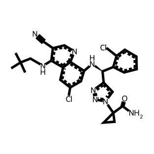 CC(C)(C)CNc1c(C#N)cnc2c(N[C@H](c3cn(C4(C(N)=O)CC4)nn3)c3ccccc3Cl)cc(Cl)cc12